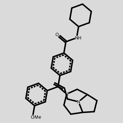 C=CCN1C2CCC1CN(C(c1ccc(C(=O)NC3CCCCC3)cc1)c1cccc(OC)c1)CC2